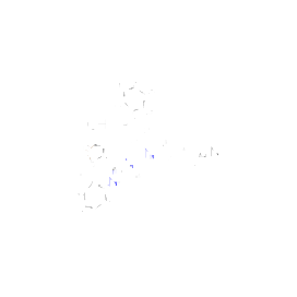 Cc1cc2c(s1)Cc1ccccc1N=C2N1CCN(CCCCC#N)[C@@H](CCc2ccccc2)C1